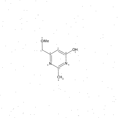 COCc1cc(O)nc(C)n1